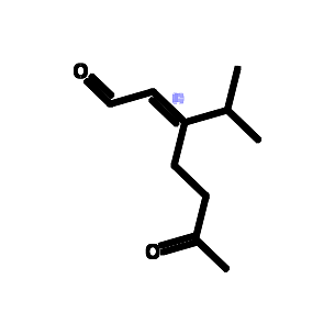 CC(=O)CC/C(=C\C=O)C(C)C